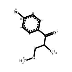 COCC(C)C(=O)c1ccc(Br)cc1